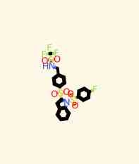 O=S(=O)(c1ccc(CNS(=O)(=O)C(F)(F)F)cc1)c1cc2ccccc2n1S(=O)(=O)c1ccc(F)cc1